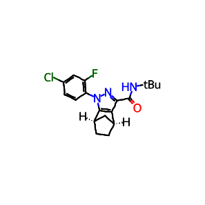 CC(C)(C)NC(=O)c1nn(-c2ccc(Cl)cc2F)c2c1[C@H]1CC[C@@H]2C1